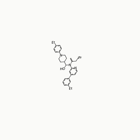 C=C(CC(C)C)N(c1cc(-c2cccc(CC)c2)ccn1)C(O)C1CCN(c2ccc(CC)cc2)CC1